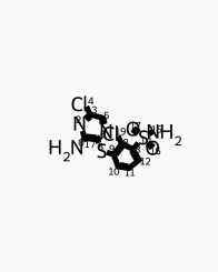 Nc1nc(Cl)cnc1Sc1cccc(S(N)(=O)=O)c1Cl